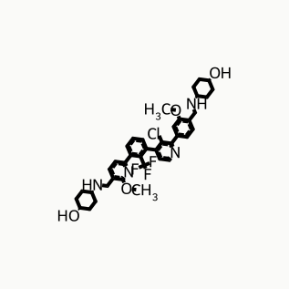 COc1cc(-c2nccc(-c3cccc(-c4ccc(CN[C@H]5CC[C@@H](O)CC5)c(OC)n4)c3C(F)(F)F)c2Cl)ccc1CN[C@H]1CC[C@@H](O)CC1